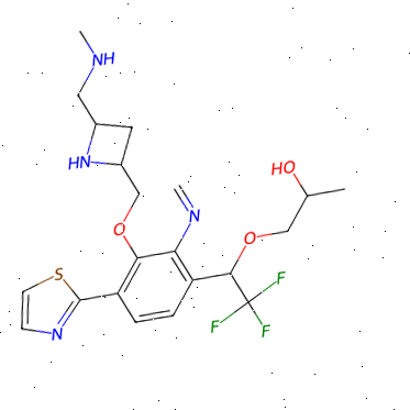 C=Nc1c(C(OCC(C)O)C(F)(F)F)ccc(-c2nccs2)c1OCC1CC(CNC)N1